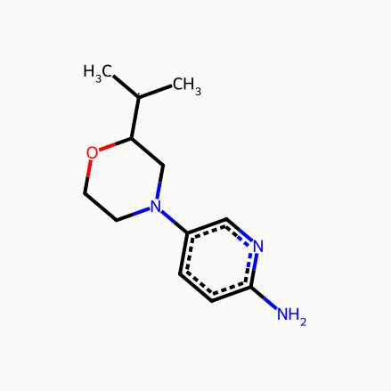 C[C](C)C1CN(c2ccc(N)nc2)CCO1